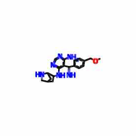 COCc1ccc(C(=N)c2c(N)ncnc2NC2CC3CNC2C3)cc1